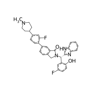 CN1CCC(c2ccc(-c3ccc4c(c3)C(=O)N([C@H](c3nc5ccccc5[nH]3)c3cc(F)ccc3O)C4)c(F)c2)CC1